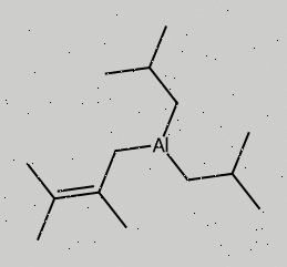 CC(C)=C(C)[CH2][Al]([CH2]C(C)C)[CH2]C(C)C